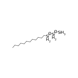 CCCCCCCCCCCC[SiH2]O[SiH2]O[SiH3]